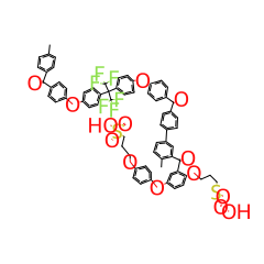 Cc1ccc(C(=O)c2ccc(Oc3ccc(C(c4ccc(Oc5ccc(C(=O)c6ccc(-c7ccc(C)c(C(=O)c8cc(Oc9ccc(OCCCS(=O)(=O)O)cc9)ccc8OCCCSOOO)c7)cc6)cc5)cc4)(C(F)(F)F)C(F)(F)F)cc3)cc2)cc1